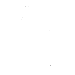 COc1ccc(OCCOC(=O)C2CCCCN2I)cc1OC